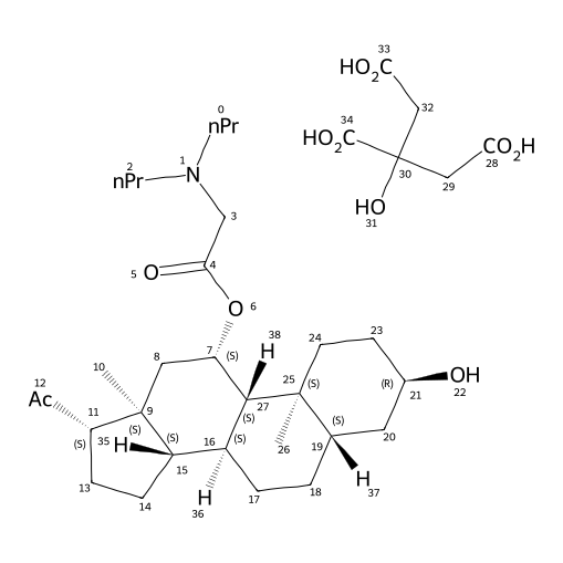 CCCN(CCC)CC(=O)O[C@H]1C[C@]2(C)[C@@H](C(C)=O)CC[C@H]2[C@@H]2CC[C@H]3C[C@H](O)CC[C@]3(C)[C@H]21.O=C(O)CC(O)(CC(=O)O)C(=O)O